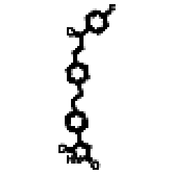 O=C1C=C(c2ccc(CCc3ccc(C=CC(=O)c4ccc(F)cc4)cc3)cc2)C(=O)N1